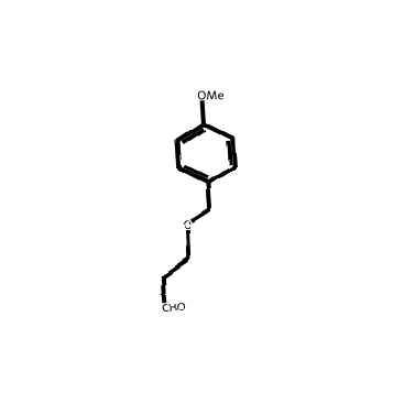 COc1ccc(COCCC=O)cc1